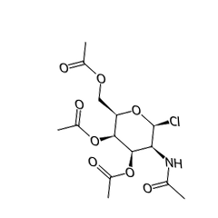 CC(=O)N[C@H]1[C@@H](OC(C)=O)[C@@H](OC(C)=O)[C@@H](COC(C)=O)O[C@H]1Cl